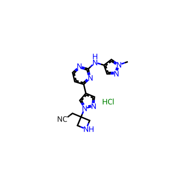 Cl.Cn1cc(Nc2nccc(-c3cnn(C4(CC#N)CNC4)c3)n2)cn1